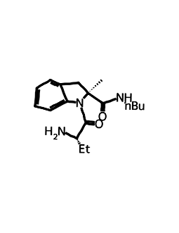 CCCCNC(=O)[C@]1(C)Cc2ccccc2N1C(=O)[C@@H](N)CC